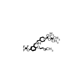 COCCOc1ccc(OC(F)(F)F)cc1CNCC1CCN(C(=O)OC(C)(C)C)CC1